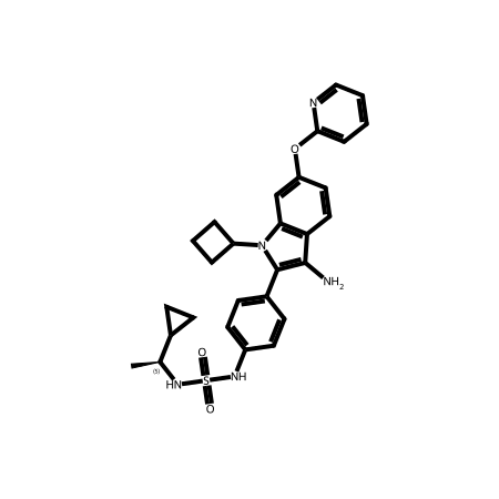 C[C@H](NS(=O)(=O)Nc1ccc(-c2c(N)c3ccc(Oc4ccccn4)cc3n2C2CCC2)cc1)C1CC1